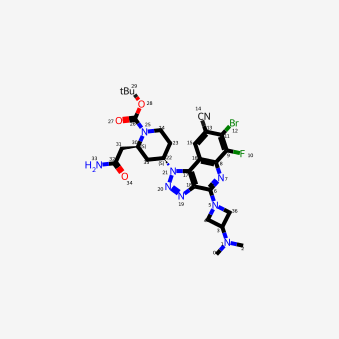 CN(C)C1CN(c2nc3c(F)c(Br)c(C#N)cc3c3c2nnn3[C@H]2CCN(C(=O)OC(C)(C)C)[C@H](CC(N)=O)C2)C1